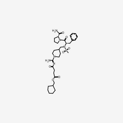 CS(=O)(=O)N(CC1CCN(C(N)=NC(=O)CCC(=O)OCC2CCCCC2)CC1)[C@H](Cc1ccccc1)C(=O)N1CCC[C@H]1C(N)=O